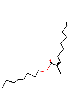 CCCCCCCC=C(C)C(=O)OCCCCCCCC